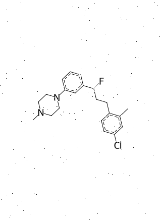 Cc1cc(Cl)ccc1CC[C@@H](F)c1cccc(N2CCN(C)CC2)c1